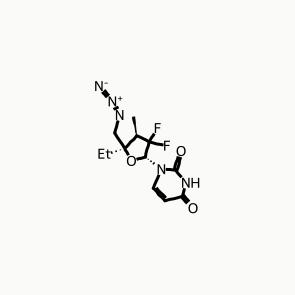 CC[C@@]1(CN=[N+]=[N-])O[C@@H](n2ccc(=O)[nH]c2=O)C(F)(F)[C@@H]1C